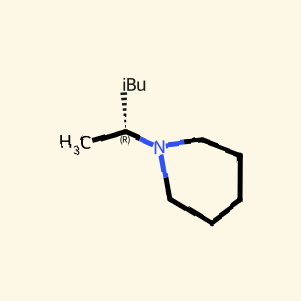 CCC(C)[C@@H](C)N1CCCCC1